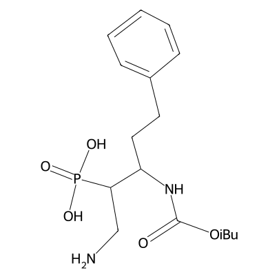 CC(C)COC(=O)NC(CCc1ccccc1)C(CN)P(=O)(O)O